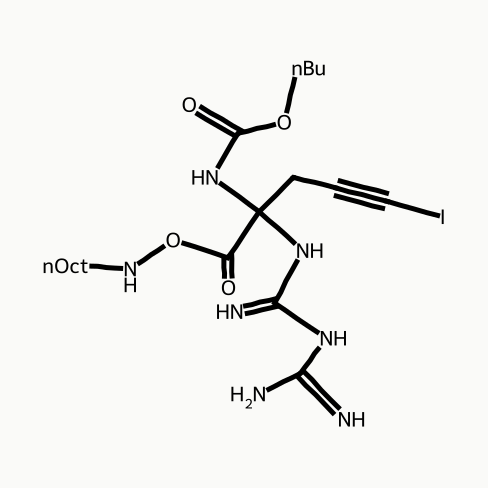 CCCCCCCCNOC(=O)C(CC#CI)(NC(=N)NC(=N)N)NC(=O)OCCCC